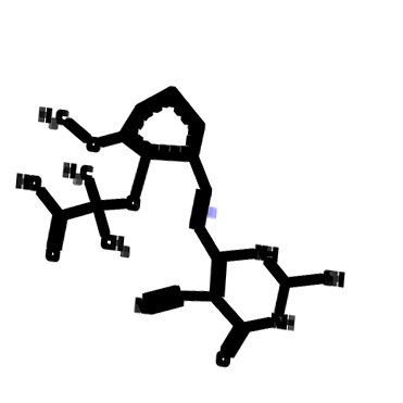 COc1cccc(/C=C/C2=C(C#N)C(=O)NC(S)N2)c1OC(C)(C)C(=O)O